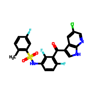 Cc1ccc(F)cc1S(=O)(=O)Nc1ccc(F)c(C(=O)c2c[nH]c3ncc(Cl)cc23)c1F